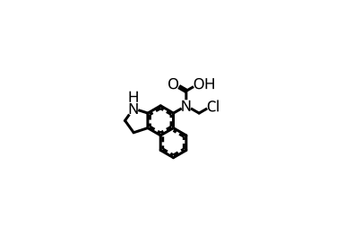 O=C(O)N(CCl)c1cc2c(c3ccccc13)CCN2